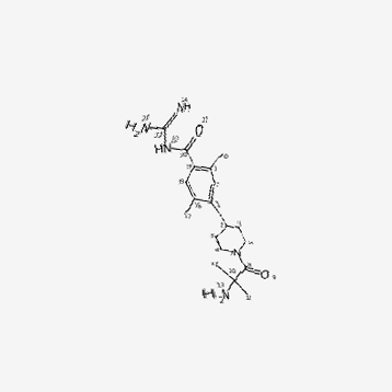 Cc1cc(C2CCN(C(=O)C(C)(C)N)CC2)c(C)cc1C(=O)NC(=N)N